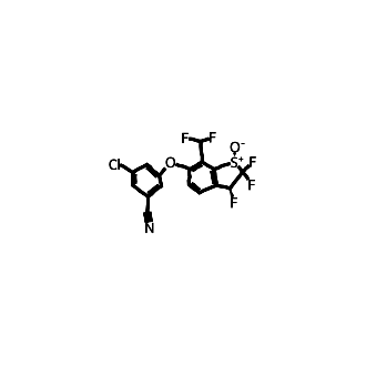 N#Cc1cc(Cl)cc(Oc2ccc3c(c2C(F)F)[S@+]([O-])C(F)(F)[C@H]3F)c1